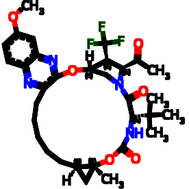 COc1ccc2nc3c(nc2c1)O[C@H]1CN(C(=O)[C@H](C(C)(C)C)NC(=O)O[C@]2(C)C[C@H]2CCCCC3)[C@H](C(C)=O)[C@@H]1C(F)(F)F